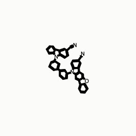 N#Cc1ccc2c(c1)c1ccccc1n2-c1cccc(-c2cccc(-n3c4ccc(C#N)cc4c4cc5oc6ccccc6c5cc43)c2)c1